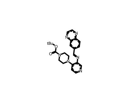 CC(C)(C)OC(=O)N1CCN(c2ccncc2/N=C/c2ccc3nccnc3c2)CC1